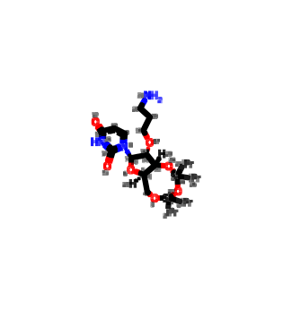 CC(C)[Si]1(C(C)C)OC[C@H]2O[C@@H](n3ccc(=O)[nH]c3=O)[C@H](OCCCN)[C@@H]2O[Si](C(C)C)(C(C)C)O1